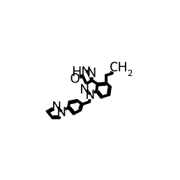 C=CCc1cccc2c1c1n[nH]c(=O)c-1nn2Cc1ccc(-n2cccn2)cc1